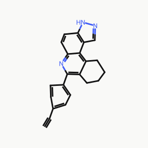 C#Cc1ccc(-c2nc3ccc4[nH]ncc4c3c3c2CCCC3)cc1